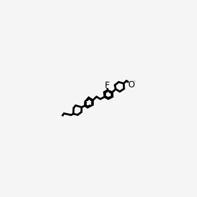 CCCC1CCC(c2ccc(CCc3ccc(C4CCC(COC)CC4)c(F)c3)cc2)CC1